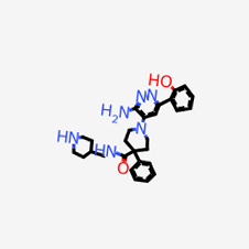 Nc1nnc(-c2ccccc2O)cc1N1CCC(C(=O)NCC2CCNCC2)(c2ccccc2)CC1